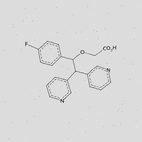 O=C(O)COC(c1ccc(F)cc1)C(c1cccnc1)c1cccnc1